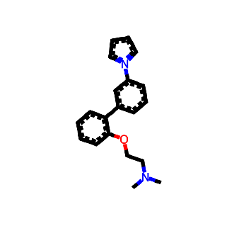 CN(C)CCOc1ccccc1-c1cccc(-n2cccc2)c1